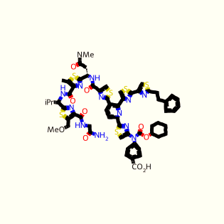 CNC(=O)C[C@H](NC(=O)c1csc(-c2ccc(-c3nc(N(C(=O)OC4CCCCC4)c4ccc(C(=O)O)cc4)cs3)nc2-c2csc(-c3csc(CCc4ccccc4)n3)n2)n1)c1nc(C(=O)NC(c2nc(C(=O)NCC(N)=O)c(COC)s2)C(C)C)c(C)s1